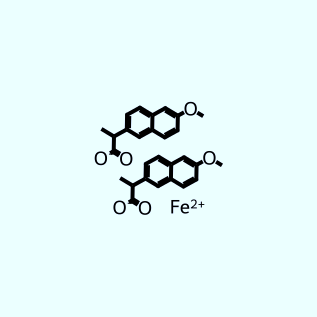 COc1ccc2cc(C(C)C(=O)[O-])ccc2c1.COc1ccc2cc(C(C)C(=O)[O-])ccc2c1.[Fe+2]